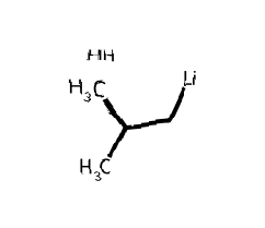 [HH].[Li][CH2]C(C)C